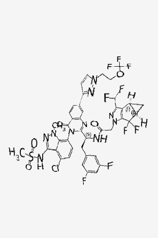 Cn1nc(NS(C)(=O)=O)c2c(Cl)ccc(-n3c([C@H](Cc4cc(F)cc(F)c4)NC(=O)Cn4nc(C(F)F)c5c4C(F)(F)[C@@H]4C[C@H]54)nc4cc(-c5ccn(CCOC(F)(F)F)n5)ccc4c3=O)c21